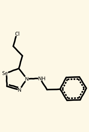 ClCCC1[Se]C=NN1NCc1ccccc1